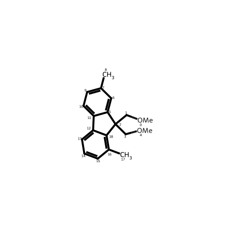 COCC1(COC)c2cc(C)ccc2-c2cccc(C)c21